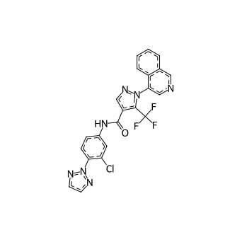 O=C(Nc1ccc(-n2nccn2)c(Cl)c1)c1cnn(-c2cncc3ccccc23)c1C(F)(F)F